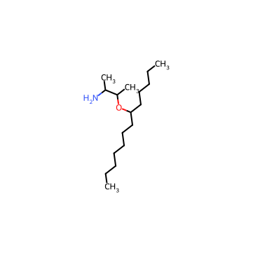 CCCCCCCC(CCCCC)OC(C)C(C)N